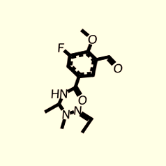 C/C=N\N(C)C(C)NC(=O)c1cc(F)c(OC)c(C=O)c1